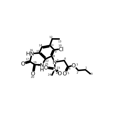 CCCOC(=O)CN(c1c(Cl)c(CC)cc2[nH]c(=O)c(=O)[nH]c12)S(C)(=O)=O